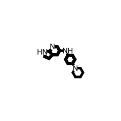 c1cc2cc(Nc3ccc(N4CCCCC4)cc3)cnc2[nH]1